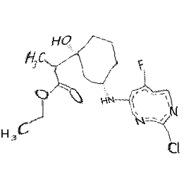 CCOC(=O)C(C)[C@@]1(O)CCC[C@H](Nc2nc(Cl)ncc2F)C1